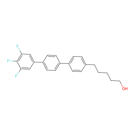 OCCCCCc1ccc(-c2ccc(-c3cc(F)c(F)c(F)c3)cc2)cc1